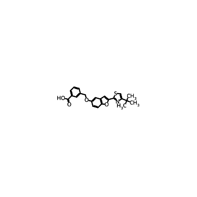 CC(C)(C)c1csc(-c2cc3cc(OCc4cccc(C(=O)O)c4)ccc3o2)n1